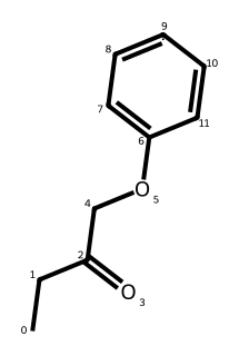 CCC(=O)COc1cc[c]cc1